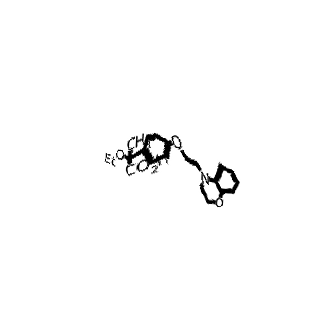 CCOC(C)(C(=O)O)c1ccc(OCCN2CCOc3ccccc32)cc1